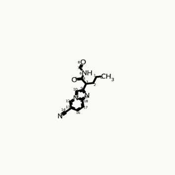 CCCC(C(=O)NC=O)c1cn2cc(C#N)ccc2n1